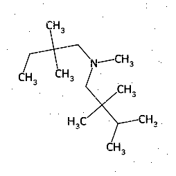 CCC(C)(C)CN(C)CC(C)(C)C(C)C